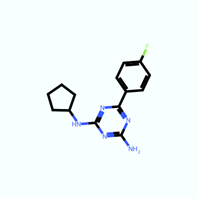 Nc1nc(NC2CCCC2)nc(-c2ccc(F)cc2)n1